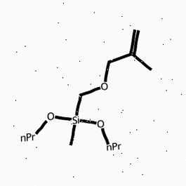 C=C(C)COC[Si](C)(OCCC)OCCC